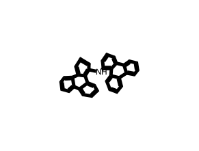 c1ccc2c(c1)c1ccccc1c1c(Nc3cccc4c5ccccc5c5ccccc5c34)cccc21